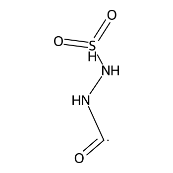 O=[C]NN[SH](=O)=O